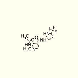 CCC(=O)NC1(C)CC(C(=O)NC[C@H]2C=CC=C(C(F)(F)I)N2)=CC=N1